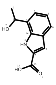 CC(O)c1cccc2cc(C(=O)O)[nH]c12